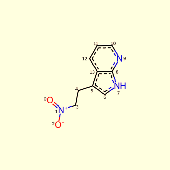 O=[N+]([O-])CCc1c[nH]c2ncccc12